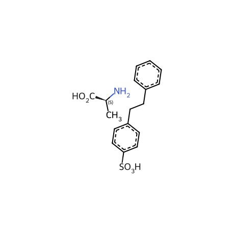 C[C@H](N)C(=O)O.O=S(=O)(O)c1ccc(CCc2ccccc2)cc1